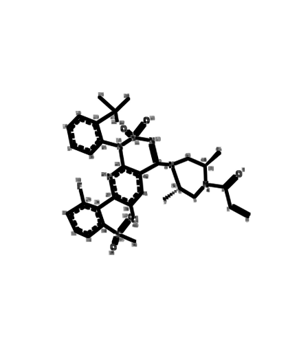 C=CC(=O)N1C[C@H](C)N(C2=NS(=O)(=O)N(c3ccccc3C(C)(C)C)c3nc(-c4c(F)cccc4S(C)(=O)=O)c(Cl)cc32)C[C@H]1C